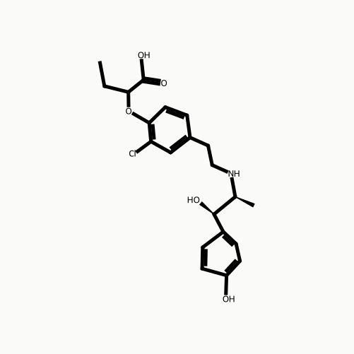 CCC(Oc1ccc(CCN[C@@H](C)[C@H](O)c2ccc(O)cc2)cc1Cl)C(=O)O